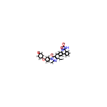 CCCc1nc(CC)n(C2=CCC(OC3CCC(=O)CC3)C=C2)c(=O)c1Cc1ccc(-c2ccccc2-c2noc(=O)[nH]2)cc1